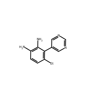 CCc1ccc(N)c(N)c1-c1cncnc1